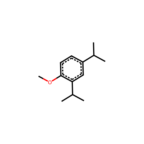 COc1ccc(C(C)C)cc1C(C)C